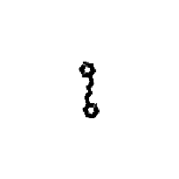 C(C=Cc1ccncn1)=Cc1ccccn1